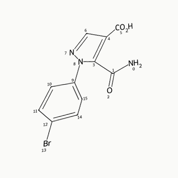 NC(=O)c1c(C(=O)O)cnn1-c1ccc(Br)cc1